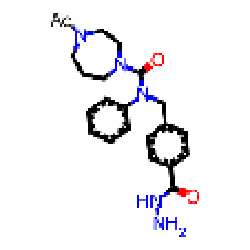 CC(=O)N1CCCN(C(=O)N(Cc2ccc(C(=O)NN)cc2)c2ccccc2)CC1